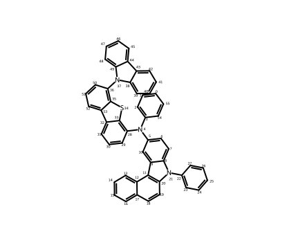 c1ccc(N(c2ccc3c(c2)c2c4ccccc4ccc2n3-c2ccccc2)c2cccc3c2sc2c(-n4c5ccccc5c5ccccc54)cccc23)cc1